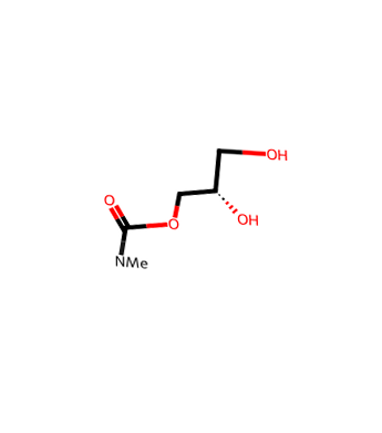 CNC(=O)OC[C@@H](O)CO